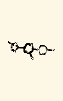 CC(C)N1CCN(c2ncc(-c3nnn(C)n3)cc2Cl)CC1